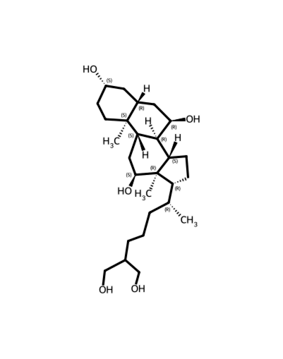 C[C@H](CCCC(CO)CO)[C@H]1CC[C@H]2[C@@H]3[C@H](O)C[C@H]4C[C@@H](O)CC[C@]4(C)[C@H]3C[C@H](O)[C@]12C